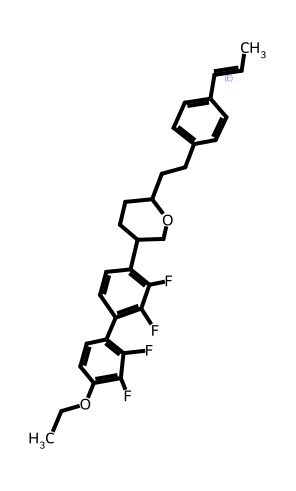 C/C=C/c1ccc(CCC2CCC(c3ccc(-c4ccc(OCC)c(F)c4F)c(F)c3F)CO2)cc1